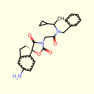 CC(C1CC1)N(Cc1ccccc1)C(=O)CN1C(=O)O[C@]2(CCc3cc(N)ccc32)C1=O